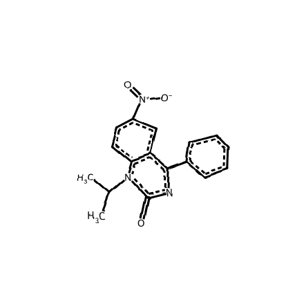 CC(C)n1c(=O)nc(-c2ccccc2)c2cc([N+](=O)[O-])ccc21